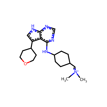 C[N+](C)=CC1CCC(Nc2ncnc3[nH]cc(C4CCOCC4)c23)CC1